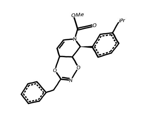 COC(=O)N1C=CC2OC(Cc3ccccc3)=NOC2[C@@H]1c1cccc(C(C)C)c1